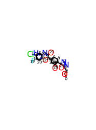 COCc1nnc(C23CCC(C(Oc4ccc(Cl)c(F)c4)C(N)=O)(CC2)CC3=O)o1